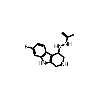 C=C(C)NNC1CNCc2[nH]c3cc(F)ccc3c21